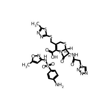 Cc1cc(NS(=O)(=O)c2ccc(N)cc2)no1.Cc1nnc(SCC2=C(C(=O)O)N3C(=O)[C@@H](NC(=O)Cn4cnnn4)[C@H]3SC2)s1